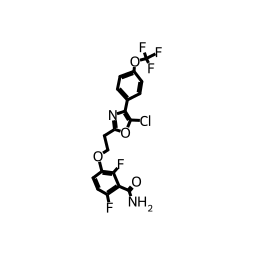 NC(=O)c1c(F)ccc(OCCc2nc(-c3ccc(OC(F)(F)F)cc3)c(Cl)o2)c1F